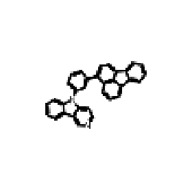 c1cc(-c2ccc3c4c(cccc24)-c2ccccc2-3)cc(-n2c3ccccc3c3cnccc32)c1